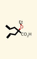 C=CCC(CC=C)(OCC)C(=O)O